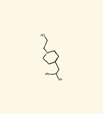 CCCC(CCC)CC1CCN(CCO)CC1